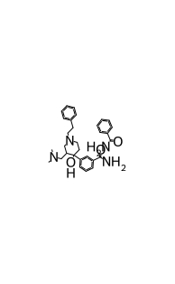 CN(C)CC1CN(CCc2ccccc2)CCC1(O)c1cccc(C(N)=O)c1.NC(=O)c1ccccc1